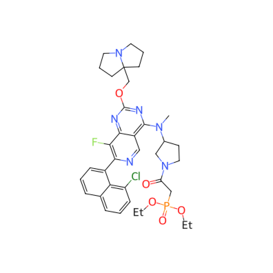 CCOP(=O)(CC(=O)N1CCC(N(C)c2nc(OCC34CCCN3CCC4)nc3c(F)c(-c4cccc5cccc(Cl)c45)ncc23)C1)OCC